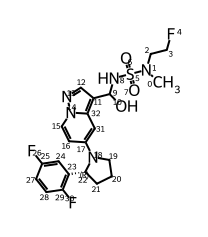 CN(CCF)S(=O)(=O)NC(O)c1cnn2ccc(N3CCC[C@@H]3c3cc(F)ccc3F)cc12